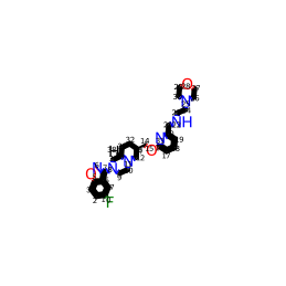 Fc1ccc2onc(N3CCN4C[C@H](COc5cccc(CNCCN6CCOCC6)n5)CC[C@H]4C3)c2c1